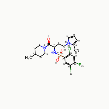 CC1CCN(C(=O)C(CCn2cccc2C#N)NS(=O)(=O)c2cc(F)c(F)cc2Cl)CC1